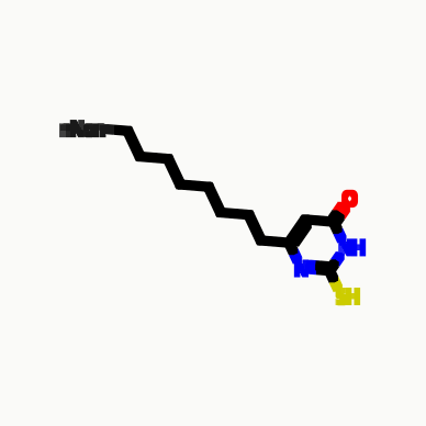 CCCCCCCCCCCCCCCCCc1cc(=O)[nH]c(S)n1